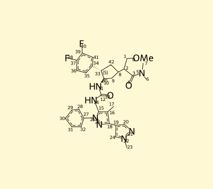 COCC(C(=O)N(C)C)C1C[C@@H](NC(=O)Nc2c(C)c(-c3cnn(C)c3)nn2-c2ccccc2)[C@H](c2ccc(F)c(F)c2)C1